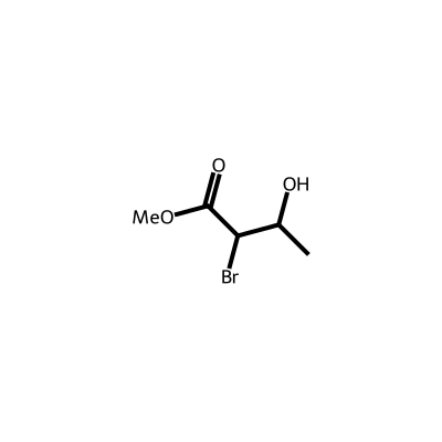 COC(=O)C(Br)C(C)O